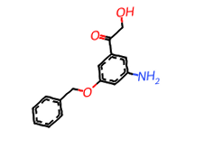 Nc1cc(OCc2ccccc2)cc(C(=O)CO)c1